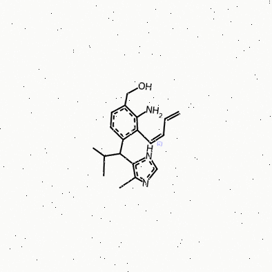 C=C/C=C\c1c(C(c2[nH]cnc2C)C(C)C)ccc(CO)c1N